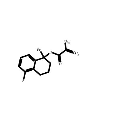 C=C(C)C(=O)OC1(CC)CCCc2c(F)cccc21